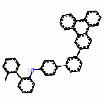 Cc1ccccc1-c1ccccc1Nc1ccc(-c2cccc(-c3ccc4c5ccccc5c5ccccc5c4c3)c2)cc1